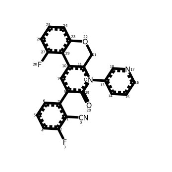 N#Cc1c(F)cccc1-c1cc2c(n(-c3cccnc3)c1=O)COc1cccc(F)c1-2